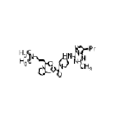 Cc1nc(NC2CCN(C(=O)OCC3CCCN3C(=O)/C=C/CN(C)C)CC2)n2ncc(C(C)C)c2n1